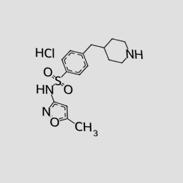 Cc1cc(NS(=O)(=O)c2ccc(CC3CCNCC3)cc2)no1.Cl